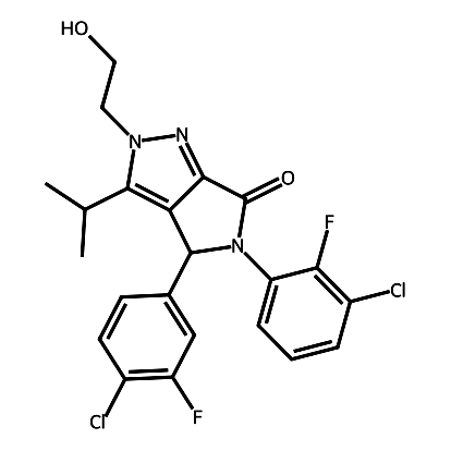 CC(C)c1c2c(nn1CCO)C(=O)N(c1cccc(Cl)c1F)C2c1ccc(Cl)c(F)c1